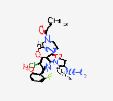 C=CC(=O)N1CCN2C(=O)c3c(N4CCC(N)[C@@H]4C)nc(-c4c(O)cccc4F)c(Cl)c3OC[C@H]2C1